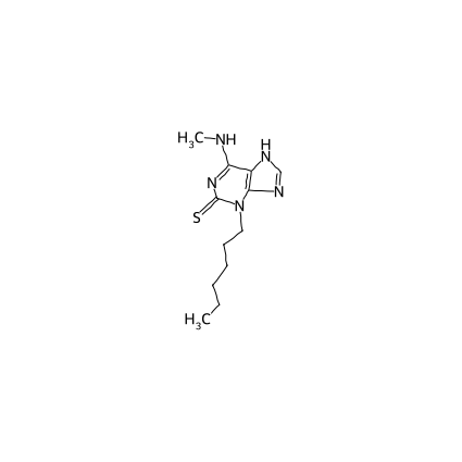 CCCCCCn1c(=S)nc(NC)c2[nH]cnc21